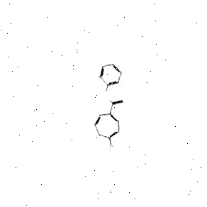 C=C(Oc1ccccc1)C1=CC=C(C=O)CC=C1